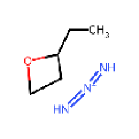 CCC1CCO1.N=[N+]=N